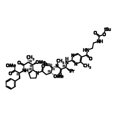 CC[C@H](C)[C@@H]([C@@H](CC(=O)N1CCC[C@H]1[C@H](OC)[C@@H](C)C(=O)N[C@@H](Cc1ccccc1)C(=O)OC)OC)N(C)C(=O)[C@@H](Nc1ncc(C(=O)NCCNC(=O)OC(C)(C)C)c(C)n1)C(C)C